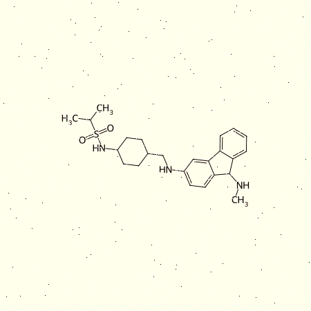 CNC1c2ccccc2-c2cc(NCC3CCC(NS(=O)(=O)C(C)C)CC3)ccc21